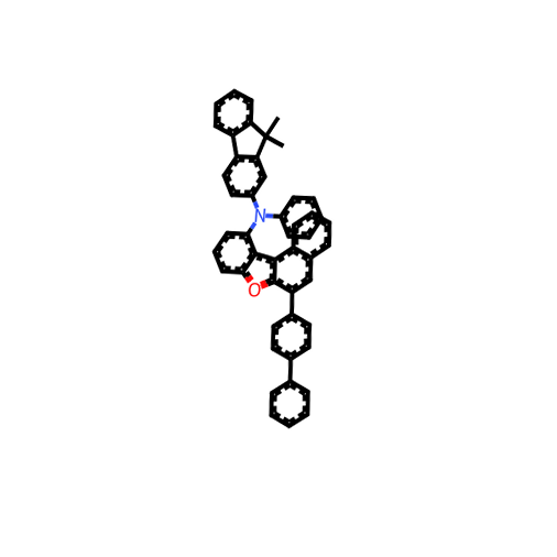 CC1(C)c2ccccc2-c2ccc(N(c3ccccc3)c3cccc4oc5c(-c6ccc(-c7ccccc7)cc6)cc6ccccc6c5c34)cc21